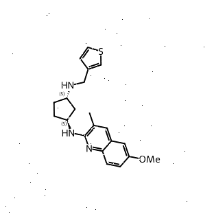 COc1ccc2nc(N[C@H]3CC[C@H](NCc4ccsc4)C3)c(C)cc2c1